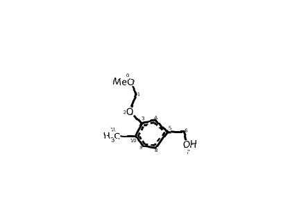 COCOc1cc(CO)ccc1C